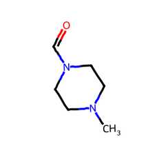 CN1CCN(C=O)CC1